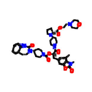 Cc1cc(C[C@@H](OC(=O)N2CCC(N3CCc4ccccc4NC3=O)CC2)C(=O)N2CCC(N3CCC[C@@H]3C(=O)OCCN3CCOCC3)CC2)cc2oc(=O)n(C)c12